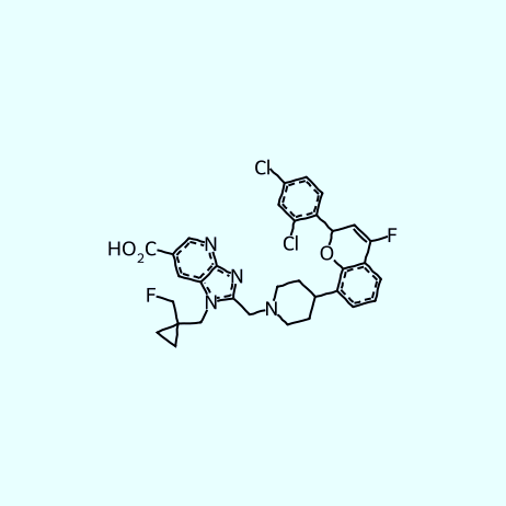 O=C(O)c1cnc2nc(CN3CCC(c4cccc5c4OC(c4ccc(Cl)cc4Cl)C=C5F)CC3)n(CC3(CF)CC3)c2c1